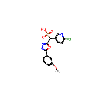 COc1cccc(-c2nnc(C(c3ccc(Cl)nc3)S(=O)(=O)O)o2)c1